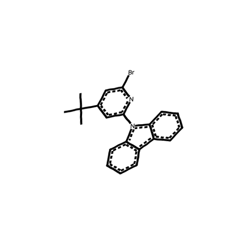 CC(C)(C)c1cc(Br)nc(-n2c3ccccc3c3ccccc32)c1